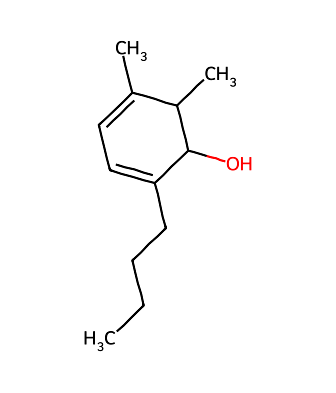 CCCCC1=CC=C(C)C(C)C1O